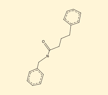 O=C(CCCc1ccccc1)[N]Cc1ccccc1